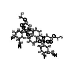 CCOC(=O)CN(c1ccc(N(CC(=O)OCC)S(=O)(=O)c2ccc(F)c(C#N)c2)c2ccccc12)S(=O)(=O)c1ccc(F)c(C#N)c1